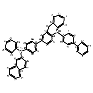 c1ccc(-c2ccc(N3c4ccccc4Cc4cc(-c5ccc(N(c6ccccc6)c6ccc7ccccc7c6)cc5)ccc43)cc2)cc1